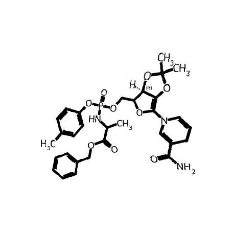 Cc1ccc(OP(=O)(NC(C)C(=O)OCc2ccccc2)OCC2OC(N3C=CCC(C(N)=O)=C3)=C3OC(C)(C)O[C@@H]32)cc1